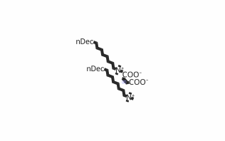 CCCCCCCCCCCCCCCCCC[N+](C)(C)C.CCCCCCCCCCCCCCCCCC[N+](C)(C)C.O=C([O-])/C=C\C(=O)[O-]